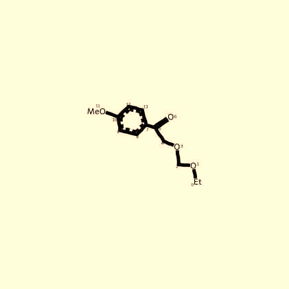 CCOCOCC(=O)c1ccc(OC)cc1